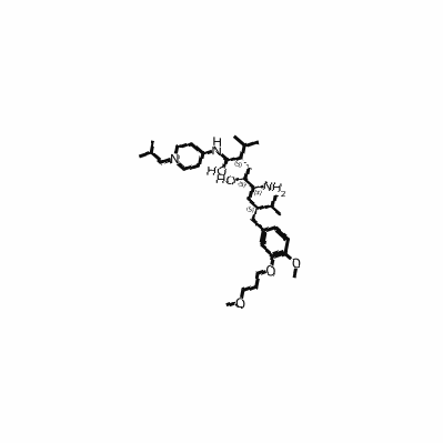 COCCCOc1cc(C[C@@H](C[C@H](N)[C@@H](O)C[C@@H](C(C)C)C(O)NC2CCN(CC(C)C)CC2)C(C)C)ccc1OC